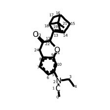 CCN(CC)c1ccc2c(c1)OC(C1=CCC3CC1C3(C)C)C(=O)C2